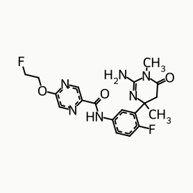 CN1C(=O)CC(C)(c2cc(NC(=O)c3cnc(OCCF)cn3)ccc2F)N=C1N